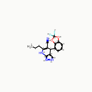 CCCC1=C(C#N)C(c2cccc3c2OC(F)(F)O3)c2c[nH]nc2N1